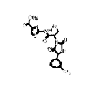 COC(=O)c1csc(NC(=O)C(CC(C)C)N2C(=O)NC(c3cccc(C(F)(F)F)c3)C2=O)n1